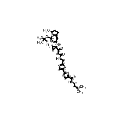 C[C@H]1CC/C(=C/C(=O)NC2(C(=O)CC(=O)NCc3nc(-c4nc(C(=O)NCCN(C)C)cs4)cs3)CC2)N1C(=O)OC(C)(C)C